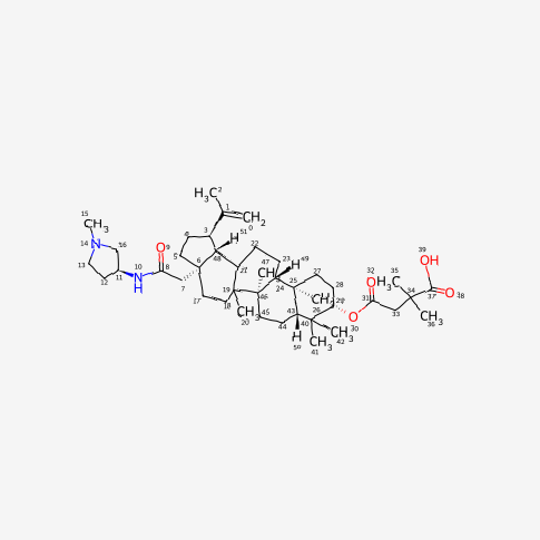 C=C(C)[C@@H]1CC[C@]2(CC(=O)N[C@H]3CCN(C)C3)CCC3(C)C(CC[C@@H]4[C@@]5(C)CC[C@H](OC(=O)CC(C)(C)C(=O)O)C(C)(C)[C@@H]5CC[C@]43C)[C@@H]12